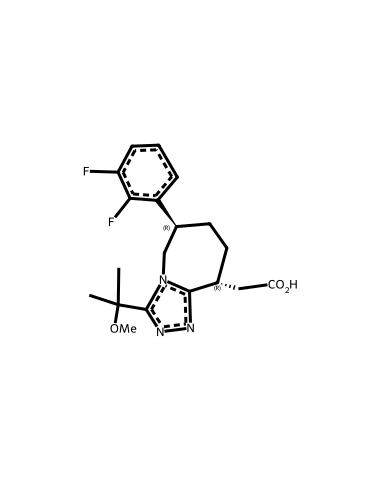 COC(C)(C)c1nnc2n1C[C@@H](c1cccc(F)c1F)CC[C@@H]2CC(=O)O